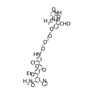 CCOc1cc2oc(-c3ccc(NCCOCCOCCOCCOc4ccc(C=O)c(C(=O)N(C)C5CCC(=O)NC5=O)c4)cc3Cl)cc(=O)c2cc1-c1cc(C(N)=O)cc(-c2ccccn2)c1